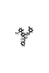 N#Cc1cccc(F)c1-c1ccc(C(=O)NCc2cccnc2)c(NCCc2cccc(F)c2)n1